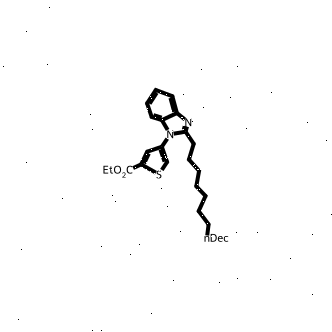 CCCCCCCCCCCCCCCCCc1nc2ccccc2n1-c1csc(C(=O)OCC)c1